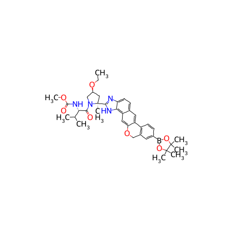 CCO[C@@H]1CN(C(=O)[C@@H](NC(=O)OC)C(C)C)[C@](C)(c2nc3ccc4cc5c(cc4c3[nH]2)OCc2cc(B3OC(C)(C)C(C)(C)O3)ccc2-5)C1